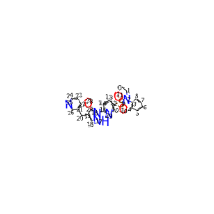 CCN(c1ccccc1)S(=O)(=O)c1ccc(-n2[nH]cc(Cc3cccnc3)c2=O)nc1